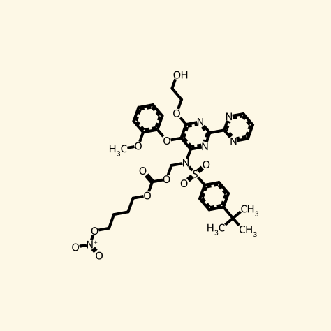 COc1ccccc1Oc1c(OCCO)nc(-c2ncccn2)nc1N(COC(=O)OCCCCO[N+](=O)[O-])S(=O)(=O)c1ccc(C(C)(C)C)cc1